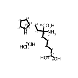 Cl.Cl.NC(CCCCB(O)O)(CC[C@H]1CCCN1)C(=O)O